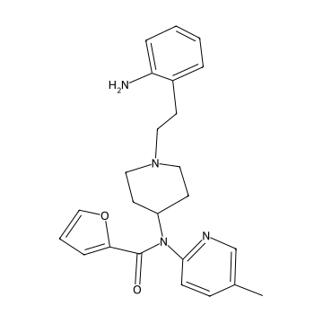 Cc1ccc(N(C(=O)c2ccco2)C2CCN(CCc3ccccc3N)CC2)nc1